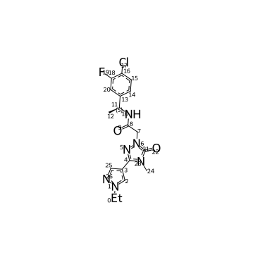 CCn1cc(-c2nn(CC(=O)N[C@@H](C)c3ccc(Cl)c(F)c3)c(=O)n2C)cn1